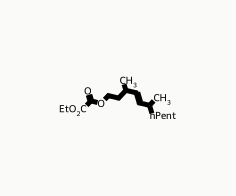 CCCCCC(C)C=CC(C)CCOC(=O)C(=O)OCC